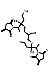 C=C1CC(=O)N(C(C)C(O)(CCO)OCC(O)COC(O)(CCO)C(C)N2C(=O)CC(=C)C2=O)C1=O